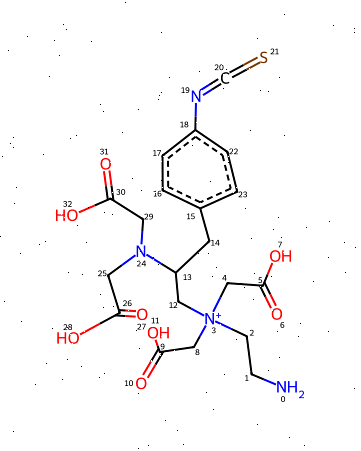 NCC[N+](CC(=O)O)(CC(=O)O)CC(Cc1ccc(N=C=S)cc1)N(CC(=O)O)CC(=O)O